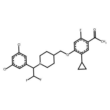 CC(=O)c1cc(C2CC2)c(OCC2CCN(C(c3cc(Cl)cc(Cl)c3)C(F)F)CC2)cc1F